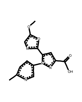 COc1cnc(-c2cc(C(=O)O)nn2-c2ccc(C)nc2)o1